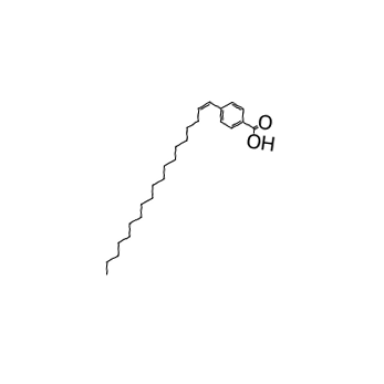 CCCCCCCCCCCCCCCCC/C=C\c1ccc(C(=O)O)cc1